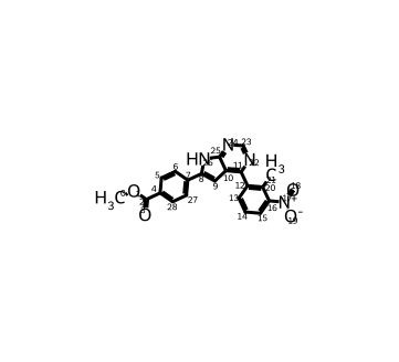 COC(=O)c1ccc(-c2cc3c(-c4cccc([N+](=O)[O-])c4C)ncnc3[nH]2)cc1